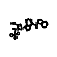 CN([C@H]1C[C@@H](n2ccc3c(N[C@H]4CCc5ccccc54)ncnc32)C[C@@H]1O)S(=O)(=O)O